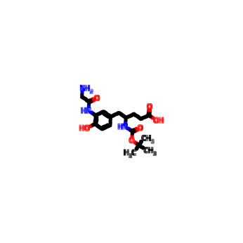 CC(C)(C)OC(=O)NC(CCC(=O)O)Cc1ccc(O)c(NC(=O)CN)c1